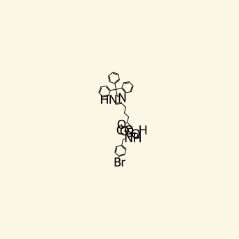 O=C(O)OC(CCCc1c[nH]c(C(c2ccccc2)(c2ccccc2)c2ccccc2)n1)CS(=O)(=O)NCc1ccc(Br)cc1